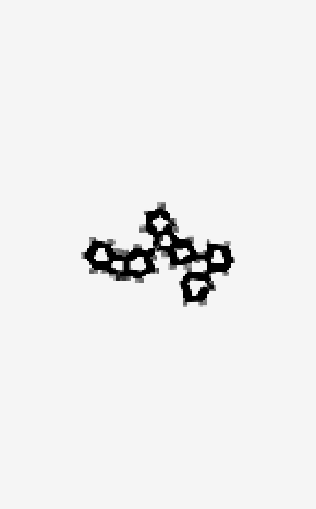 c1ccc(-c2ccccc2-c2ccc3c(c2)c2ncccc2n3-c2ccc3sc4ccccc4c3c2)nc1